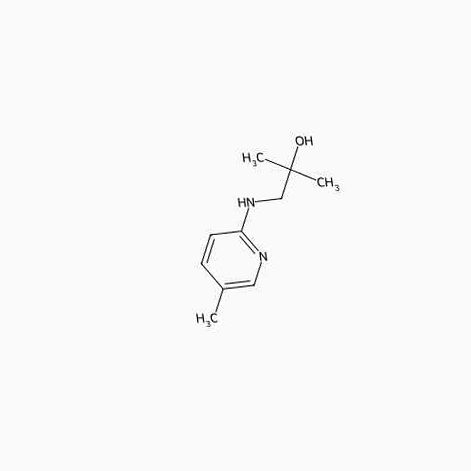 Cc1ccc(NCC(C)(C)O)nc1